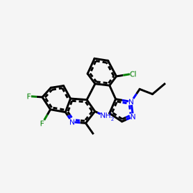 CCCn1nccc1-c1c(Cl)cccc1-c1c(N)c(C)nc2c(F)c(F)ccc12